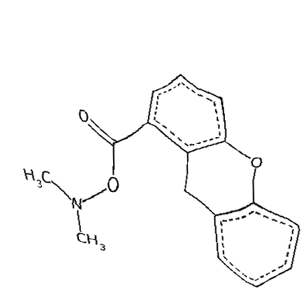 CN(C)OC(=O)c1cccc2c1Cc1ccccc1O2